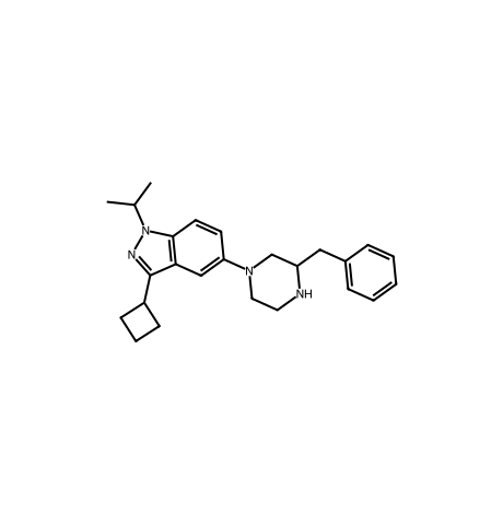 CC(C)n1nc(C2CCC2)c2cc(N3CCNC(Cc4ccccc4)C3)ccc21